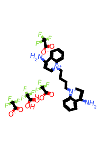 Nc1cc[n+](CCCC[n+]2ccc(N)c3ccccc32)c2ccccc12.O=C(O)C(F)(F)F.O=C(O)C(F)(F)F.O=C([O-])C(F)(F)F.O=C([O-])C(F)(F)F